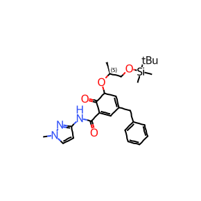 C[C@@H](CO[Si](C)(C)C(C)(C)C)OC1C=C(Cc2ccccc2)C=C(C(=O)Nc2ccn(C)n2)C1=O